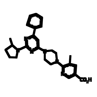 Cc1cc(C(=O)O)cnc1N1CCN(c2cc(-c3ccccc3)nc(N3CCCC3C)n2)CC1